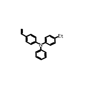 C=Cc1ccc(N(c2ccccc2)c2ccc(CC)cc2)cc1